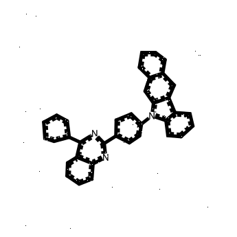 c1ccc(-c2nc(-c3ccc(-n4c5ccccc5c5cc6ccccc6cc54)cc3)nc3ccccc23)cc1